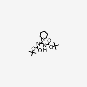 CC(C)(C)OC(=O)/N=C(\NC(=O)OC(C)(C)C)N1CCCCC1